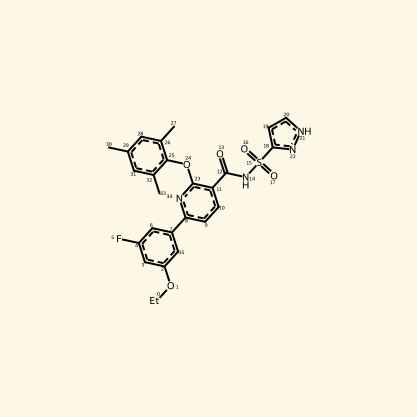 CCOc1cc(F)cc(-c2ccc(C(=O)NS(=O)(=O)c3cc[nH]n3)c(Oc3c(C)cc(C)cc3C)n2)c1